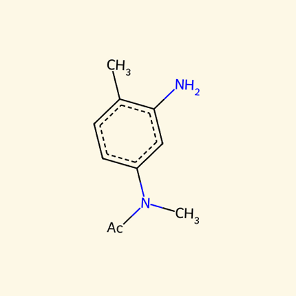 CC(=O)N(C)c1ccc(C)c(N)c1